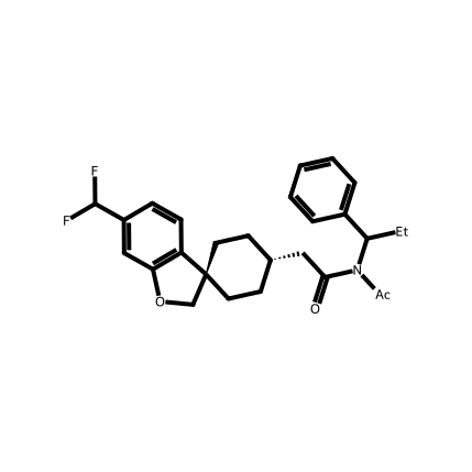 CCC(c1ccccc1)N(C(C)=O)C(=O)C[C@H]1CC[C@@]2(CC1)COc1cc(C(F)F)ccc12